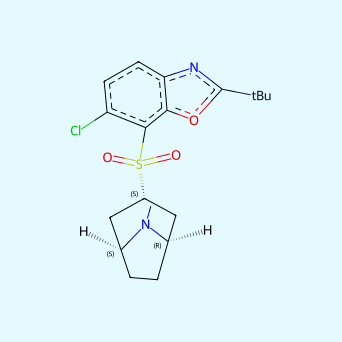 CN1[C@@H]2CC[C@H]1C[C@H](S(=O)(=O)c1c(Cl)ccc3nc(C(C)(C)C)oc13)C2